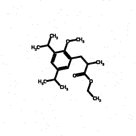 CCOC(=O)C(C)Cc1cc(C(C)C)cc(C(C)C)c1OC